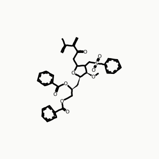 C=C(C)C(=C)C(=O)CC1O[C@H](C[C@@H](COC(=O)c2ccccc2)OC(=O)c2ccccc2)[C@H](OC)C1CS(=O)(=O)c1ccccc1